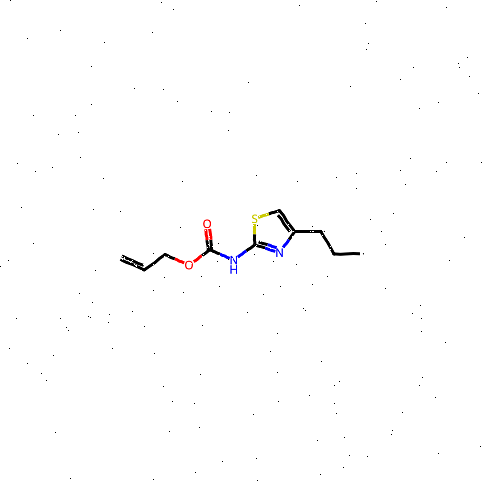 [CH2]C[CH]c1csc(NC(=O)OCC=C)n1